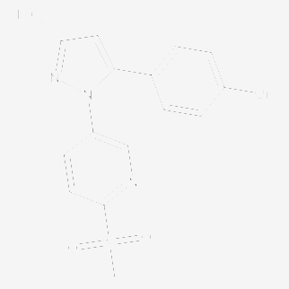 CS(=O)(=O)c1ccc(-n2nc(C(F)(F)F)cc2-c2ccc(Br)cc2)cn1